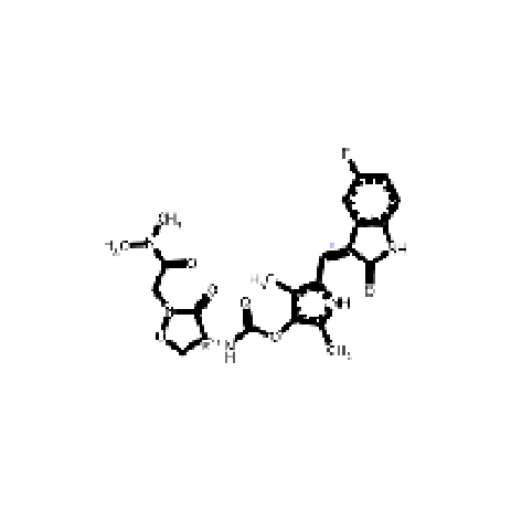 Cc1[nH]c(/C=C2\C(=O)Nc3ccc(F)cc32)c(C)c1OC(=O)N[C@@H]1CON(CC(=O)N(C)C)C1=O